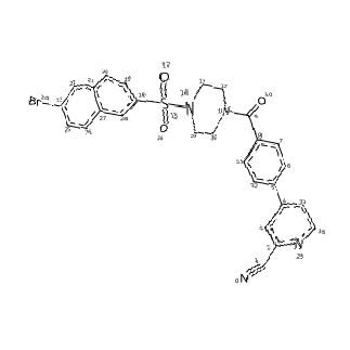 N#Cc1cc(-c2ccc(C(=O)N3CCN(S(=O)(=O)c4ccc5cc(Br)ccc5c4)CC3)cc2)ccn1